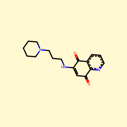 O=C1C(NCCCN2CCCCC2)=CC(=O)c2ncccc21